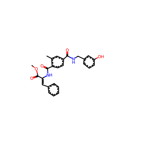 COC(=O)C(=Cc1ccccc1)NC(=O)c1ccc(C(=O)NCc2cccc(O)c2)cc1C